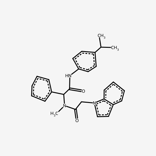 CC(C)c1ccc(NC(=O)C(c2ccccc2)N(C)C(=O)Cn2ccc3ccccc32)cc1